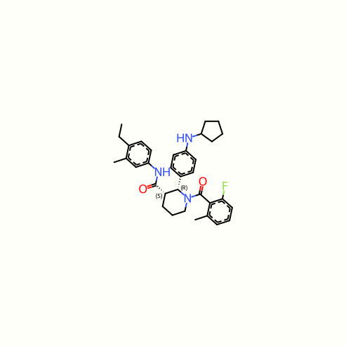 CCc1ccc(NC(=O)[C@H]2CCCN(C(=O)c3c(C)cccc3F)[C@H]2c2ccc(NC3CCCC3)cc2)cc1C